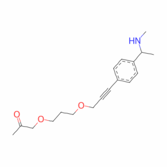 CNC(C)c1ccc(C#CCOCCCOCC(C)=O)cc1